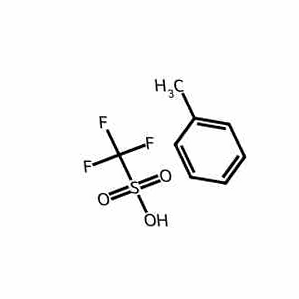 Cc1ccccc1.O=S(=O)(O)C(F)(F)F